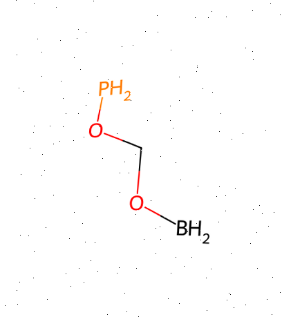 BOCOP